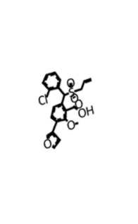 C=CCS(=O)(=O)C(c1ccccc1Cl)c1ccc(-c2ccoc2)c(OC)c1C(=O)O